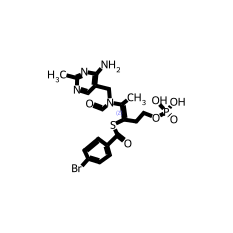 C/C(=C(\CCOP(=O)(O)O)SC(=O)c1ccc(Br)cc1)N(C=O)Cc1cnc(C)nc1N